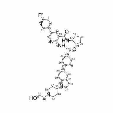 Nc1ncc(-c2ccc(F)nc2)cc1C(=O)N[C@H]1CCC[C@@H]1OCc1ccc(-c2ccc3c(ccn3C3CCN(CCO)CC3)c2)cc1